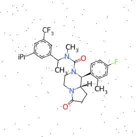 Cc1cc(F)ccc1[C@H]1[C@@H]2CCC(=O)N2CCN1C(=O)N(C)C(C)c1cc(C(C)C)cc(C(F)(F)F)c1